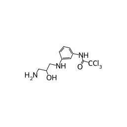 NCC(O)CNc1cccc(NC(=O)C(Cl)(Cl)Cl)c1